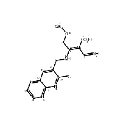 CCOC(=O)/C(C=N)=C(\COC(C)(C)C)NCc1cc2cccnc2nc1C